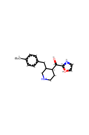 CC(C)COc1ccc(CC2CNCCC2C(=O)c2ncco2)cc1